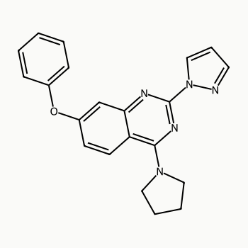 c1ccc(Oc2ccc3c(N4CCCC4)nc(-n4cccn4)nc3c2)cc1